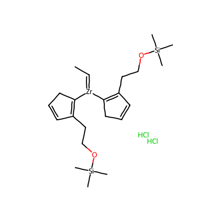 C[CH]=[Zr]([C]1=C(CCO[Si](C)(C)C)C=CC1)[C]1=C(CCO[Si](C)(C)C)C=CC1.Cl.Cl